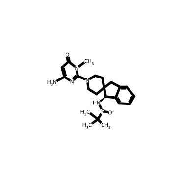 Cn1c(N2CCC3(CC2)Cc2ccccc2[C@H]3N[S+]([O-])C(C)(C)C)nc(N)cc1=O